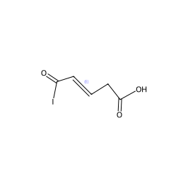 O=C(I)/C=C/CC(=O)O